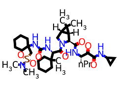 CCC[C@H](NC(=O)[C@@H]1[C@@H]2[C@H](CN1C(=O)[C@@H](NC(=O)NC1(CS(=O)(=O)N(C)C)CCCCC1)C1(C)CCCCC1)C2(C)C)C(=O)C(=O)NC1CC1